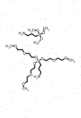 COCCOCCO[Si](CCCN)(OCCOCCOC)OCCOCCOC.CO[Si](CCCN)(OC)OC